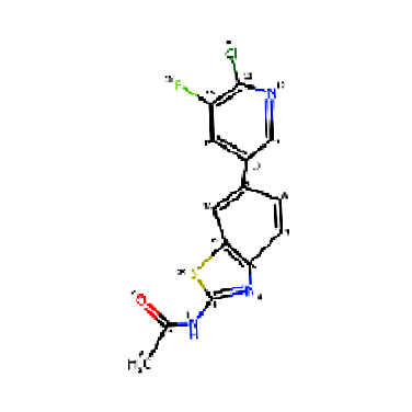 CC(=O)Nc1nc2ccc(-c3cnc(Cl)c(F)c3)cc2s1